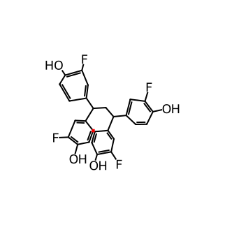 Oc1ccc(C(CC(c2ccc(O)c(F)c2)c2ccc(O)c(F)c2)c2ccc(O)c(F)c2)cc1F